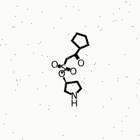 O=C(CS(=O)(=O)O[C@H]1CCNC1)C1CCCC1